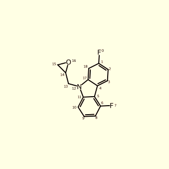 Fc1ccc2c3c(F)cccc3n(CC3CO3)c2c1